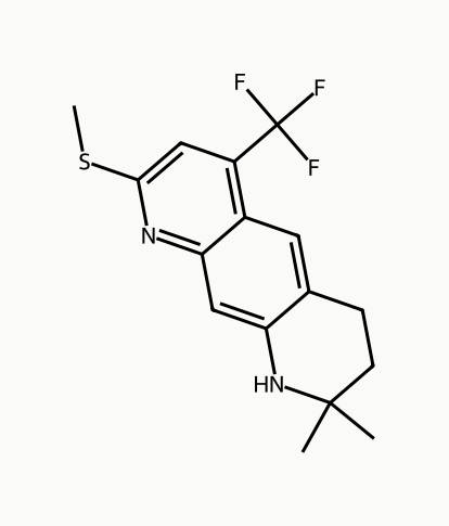 CSc1cc(C(F)(F)F)c2cc3c(cc2n1)NC(C)(C)CC3